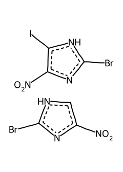 O=[N+]([O-])c1c[nH]c(Br)n1.O=[N+]([O-])c1nc(Br)[nH]c1I